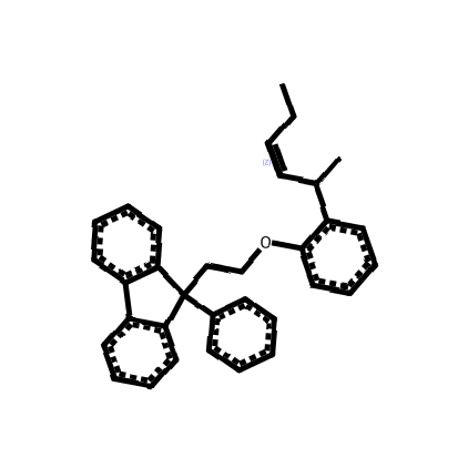 CC/C=C\C(C)c1ccccc1OCCC1(c2ccccc2)c2ccccc2-c2ccccc21